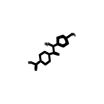 Cc1ccc(N(C)C(=O)C2CCN(C(=O)O)CC2)cc1